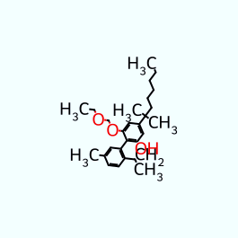 C=C(C)c1ccc(C)cc1-c1c(O)cc(C(C)(C)CCCCCC)cc1OCOCC